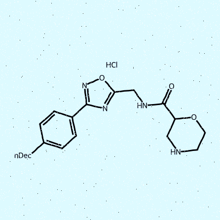 CCCCCCCCCCc1ccc(-c2noc(CNC(=O)C3CNCCO3)n2)cc1.Cl